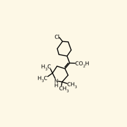 CC1(C)CC(=C(C(=O)O)C2CCC(Cl)CC2)CC(C)(C)N1